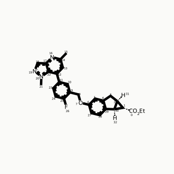 CCOC(=O)[C@H]1[C@@H]2Cc3cc(OCc4cc(-c5cc(C)nc6cnn(C)c56)ccc4F)ccc3[C@@H]21